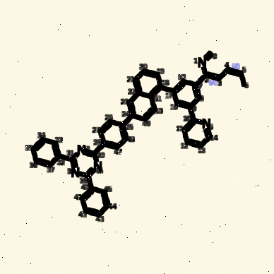 C=N/C(=C\C=C/C)c1cc(-c2ccccn2)cc(-c2cccc3cc(-c4ccc(-c5nc(-c6ccccc6)nc(-c6ccccc6)n5)cc4)ccc23)c1